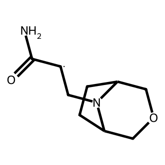 NC(=O)[CH]CN1C2CCC1COC2